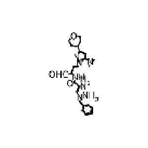 CN(C)c1cc(C2CCOCC2)nn1CCC(C=O)NC(=O)/C(N)=C/N(N)Cc1ccccc1